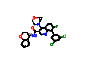 O=C(N[C@H]1CCOc2ccccc21)c1cnc2c(-c3cc(Cl)cc(Cl)c3)c(F)ccc2c1N1CCOC2CC21